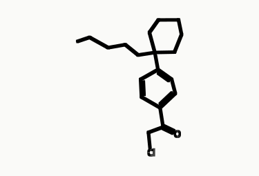 CCCCCC1(c2ccc(C(=O)CCl)cc2)CCCCC1